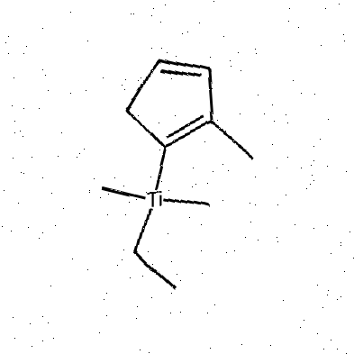 C[CH2][Ti]([CH3])([CH3])[C]1=C(C)C=CC1